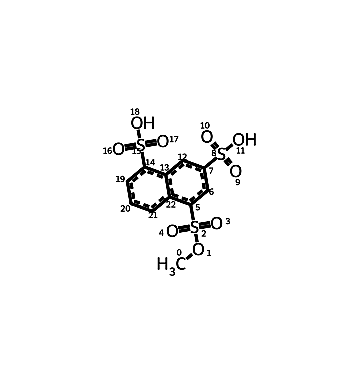 COS(=O)(=O)c1cc(S(=O)(=O)O)cc2c(S(=O)(=O)O)cccc12